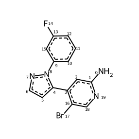 Nc1cc(-c2ccnn2-c2cccc(F)c2)c(Br)cn1